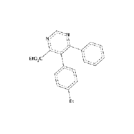 CCOC(=O)c1ncnc(-c2ccccc2)c1-c1ccc(CC)cc1